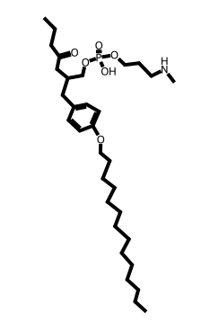 CCCCCCCCCCCCCCOc1ccc(CC(COP(=O)(O)OCCCNC)CC(=O)CCC)cc1